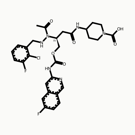 CC(=O)N(NCc1cccc(F)c1Cl)[C@H](COC(=O)Nc1cc2cc(F)ccc2cn1)CC(=O)NC1CCN(C(=O)O)CC1